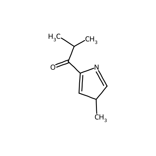 CC1C=NC(C(=O)C(C)C)=C1